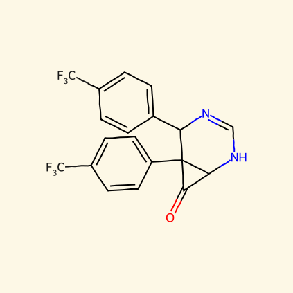 O=C1C2NC=NC(c3ccc(C(F)(F)F)cc3)C12c1ccc(C(F)(F)F)cc1